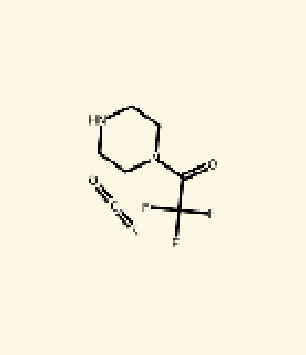 O=C(N1CCNCC1)C(F)(F)F.O=C=S